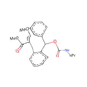 CCCNC(=O)OC(c1ccccc1)c1ccccc1C(=COC)C(=O)OC